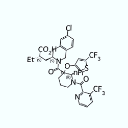 CCC[C@H]1N(C(=O)c2ncccc2C(F)(F)F)CCC[C@@]1(Oc1csc(C(F)(F)F)c1)C(=O)N1Cc2ccc(Cl)cc2C[C@@H]1C[C@H](CC)C(=O)O